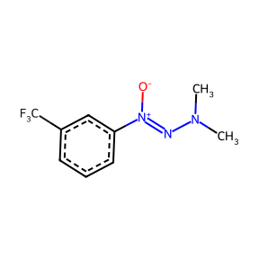 CN(C)/N=[N+](\[O-])c1cccc(C(F)(F)F)c1